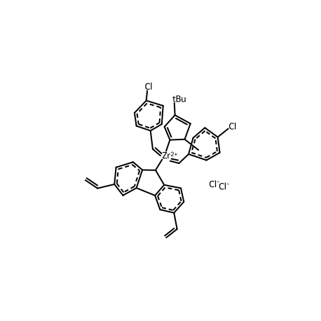 C=Cc1ccc2c(c1)-c1cc(C=C)ccc1[CH]2[Zr+2](=[CH]c1ccc(Cl)cc1)(=[CH]c1ccc(Cl)cc1)[C]1=CC(C(C)(C)C)=CC1C.[Cl-].[Cl-]